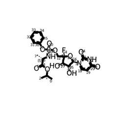 CC(C)OC(=O)[C@H](C)N[P@](=O)(OC[C@@]1(F)O[C@@H](n2ccc(=O)[nH]c2=O)[C@H](O)[C@@H]1O)Oc1ccccc1